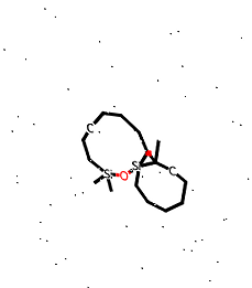 CC1(C)CCCCCC[Si]12CCCCCCC[Si](C)(C)O2